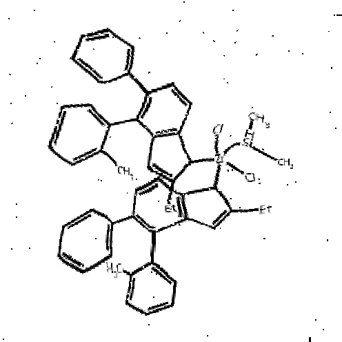 CCC1=Cc2c(ccc(-c3ccccc3)c2-c2ccccc2C)[CH]1[Zr]([Cl])([Cl])([CH]1C(CC)=Cc2c1ccc(-c1ccccc1)c2-c1ccccc1C)[SiH](C)C